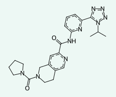 CC(C)n1nnnc1-c1cccc(NC(=O)c2cc3c(cn2)CCN(C(=O)N2CCCC2)C3)n1